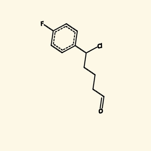 O=CCCCC(Cl)c1ccc(F)cc1